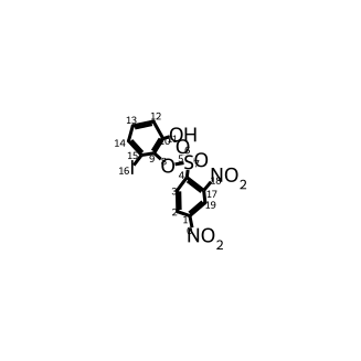 O=[N+]([O-])c1ccc(S(=O)(=O)Oc2c(O)cccc2I)c([N+](=O)[O-])c1